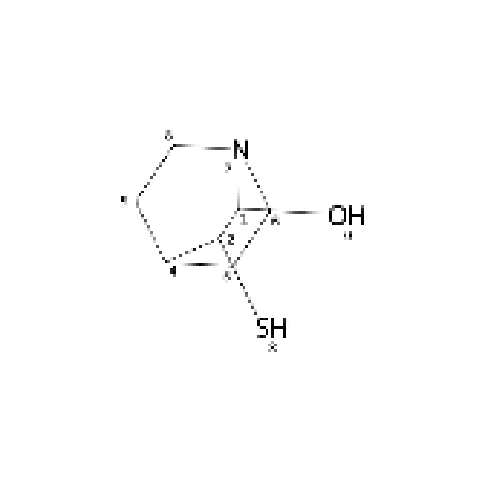 OC1C(S)C2CCN1CC2